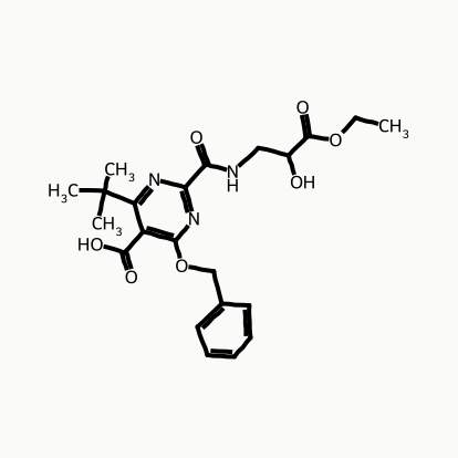 CCOC(=O)C(O)CNC(=O)c1nc(OCc2ccccc2)c(C(=O)O)c(C(C)(C)C)n1